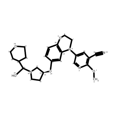 COc1ncc(N2CCOc3ccc(O[C@H]4CCN(C(O)C5CCOCC5)C4)cc32)cc1C#N